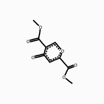 COC(=O)c1cc(=O)c(C(=O)OC)co1